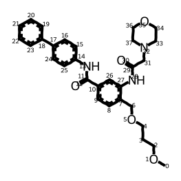 COCCCOCc1ccc(C(=O)Nc2ccc(-c3ccccc3)cc2)cc1NC(=O)CN1CCOCC1